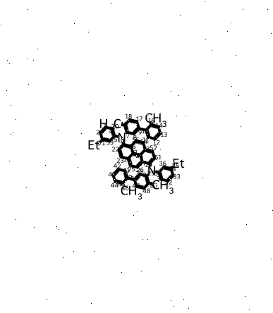 CCc1cccc(N(c2cc(-c3ccccc3C)ccc2C)c2ccc3ccc4c(N(c5cccc(CC)c5)c5cc(-c6ccccc6C)ccc5C)ccc5ccc2c3c54)c1